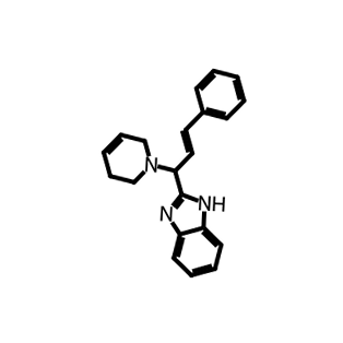 C1=CCN(C(/C=C/c2ccccc2)c2nc3ccccc3[nH]2)CC1